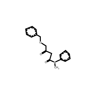 CN(C(=O)CC(=O)COCc1ccccc1)c1ccccc1